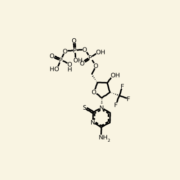 Nc1ccn([C@@H]2O[C@H](COP(=O)(O)OP(=O)(O)OP(=O)(O)O)C(O)[C@@H]2C(F)(F)F)c(=S)n1